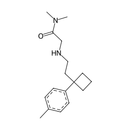 Cc1ccc(C2(CCNCC(=O)N(C)C)CCC2)cc1